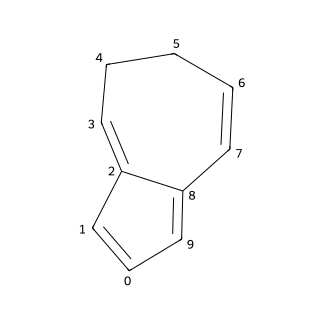 C1=CC2=CCCC=CC2=C1